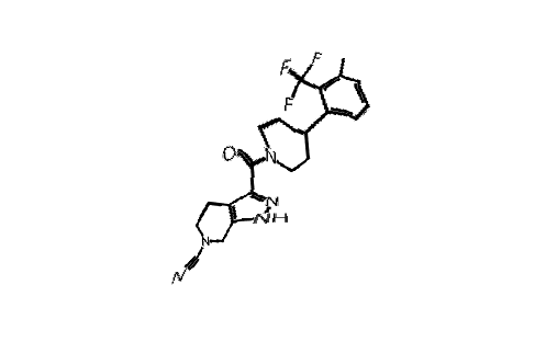 Cc1cccc(C2CCN(C(=O)c3n[nH]c4c3CCN(C#N)C4)CC2)c1C(F)(F)F